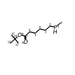 CPCCCCCC(=O)OC(C)(C)C